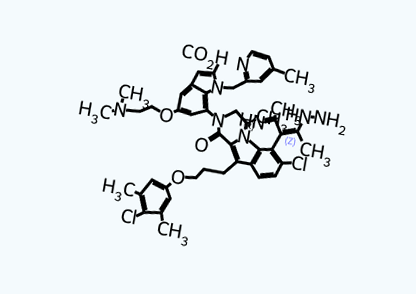 CC(=N)/C(=C(/C)NN)c1c(Cl)ccc2c(CCCOc3cc(C)c(Cl)c(C)c3)c3n(c12)[C@H](C)CN(c1cc(OCCN(C)C)cc2cc(C(=O)O)n(Cc4cc(C)ccn4)c12)C3=O